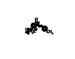 COc1c(C(=O)NC2CC2)ccc2[nH]nc(C=Cc3ccc(C)cc3)c12